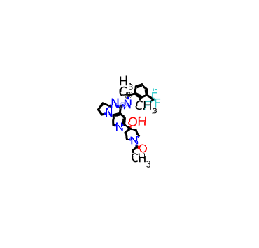 CCC(=O)N1CCC(O)(c2cc3/c(=N/[C@H](C)c4cccc(C(F)(F)F)c4C)nc4n(c3cn2)CCC4)CC1